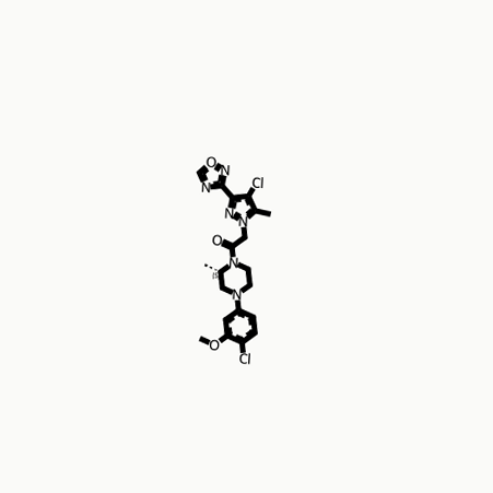 COc1cc(N2CCN(C(=O)Cn3nc(-c4ncon4)c(Cl)c3C)[C@@H](C)C2)ccc1Cl